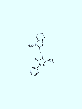 CC1=NN(c2ccccn2)C(=O)/C1=C\C=C1/Oc2ccccc2N1C